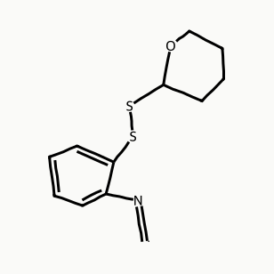 [CH]=Nc1ccccc1SSC1CCCCO1